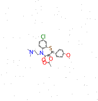 COc1ccc([C@H]2Sc3cc(Cl)ccc3N(CCN(C)C)C(=O)[C@H]2OC(C)=O)cc1